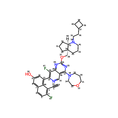 C#Cc1c(F)ccc2cc(O)cc(-c3ncc4c(N5CCCOCC5)nc(OC[C@]56CCC[C@H]5N(CCC5CCC5)CCC6)nc4c3F)c12